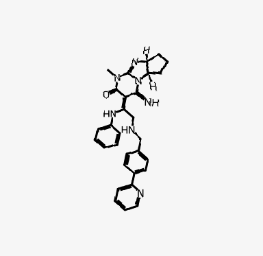 Cn1c(=O)/c(=C(/CNCc2ccc(-c3ccccn3)cc2)Nc2ccccc2)c(=N)n2c1=N[C@@H]1CCC[C@@H]12